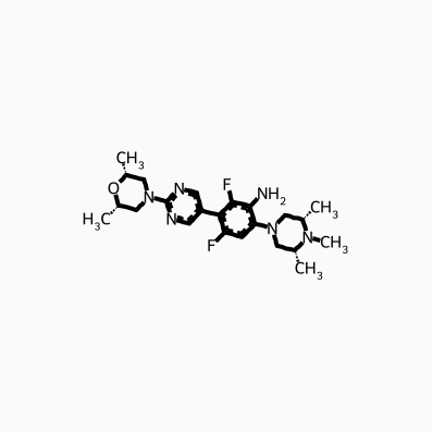 C[C@@H]1CN(c2ncc(-c3c(F)cc(N4C[C@@H](C)N(C)[C@@H](C)C4)c(N)c3F)cn2)C[C@H](C)O1